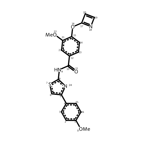 COc1ccc(-c2csc(NC(=O)c3ccc(OC4=NC=C4)c(OC)c3)n2)cc1